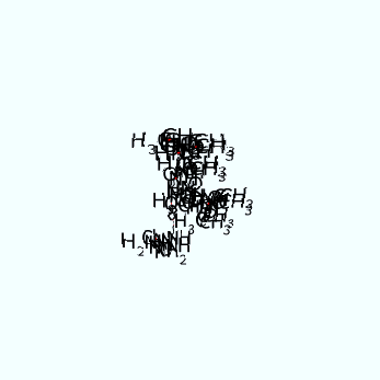 CC(C)(C)OC(=O)/N=C(\NCCCC[C@@H](NC(=O)OC(C)(C)C)C(=O)NCCCN(CCCNC(=O)[C@@H](CCCCN/C(=N\C(=O)OC(C)(C)C)NC(=O)OC(C)(C)C)NC(=O)OC(C)(C)C)CCOc1ccc2cc(CCCCNC(=N)NC(=O)c3nc(Cl)c(N)nc3N)ccc2c1)NC(=O)OC(C)(C)C